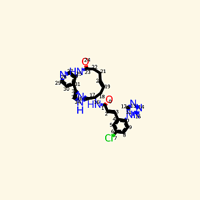 O=C(/C=C/c1cc(Cl)ccc1-n1cnnn1)N[C@H]1C/C=C/CCC(=O)Nc2cnccc2-c2c[nH]c1n2